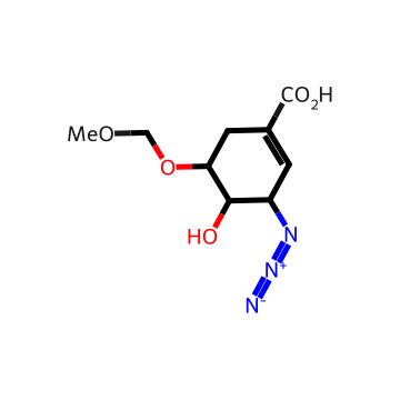 COCOC1CC(C(=O)O)=CC(N=[N+]=[N-])C1O